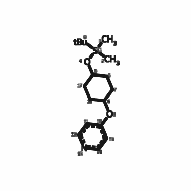 CC(C)(C)[Si](C)(C)OC1CCC(Oc2ccncc2)CC1